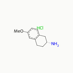 COc1ccc2c(c1)CC[C@@H](N)C2.Cl